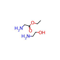 CCOC(=O)CN.NCCO